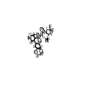 N#C[C@@H]1CC(F)(F)CN1C(=O)CNC(=O)c1ccncc1-c1ccc2c(c1)OCCO2